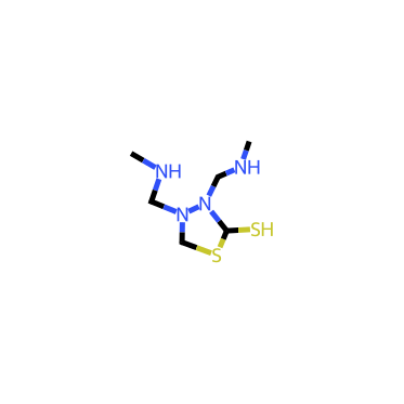 CNCN1CSC(S)N1CNC